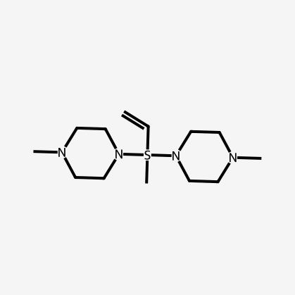 C=CS(C)(N1CCN(C)CC1)N1CCN(C)CC1